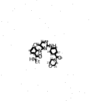 CCNC(=O)c1ccccc1Nc1nc(Nc2ccc(C(=O)N3CCOCC3)cc2)ncc1Cl